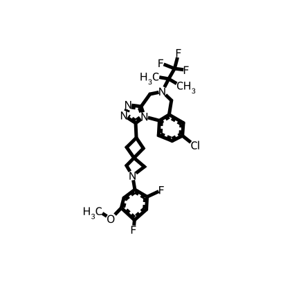 COc1cc(N2CC3(CC(c4nnc5n4-c4ccc(Cl)cc4CN(C(C)(C)C(F)(F)F)C5)C3)C2)c(F)cc1F